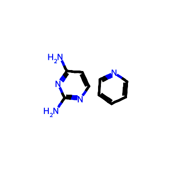 Nc1ccnc(N)n1.c1ccncc1